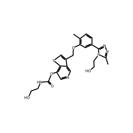 Cc1ccc(-c2nnc(C)n2CCO)cc1OCc1csc2c(OC(=O)NCCO)cncc12